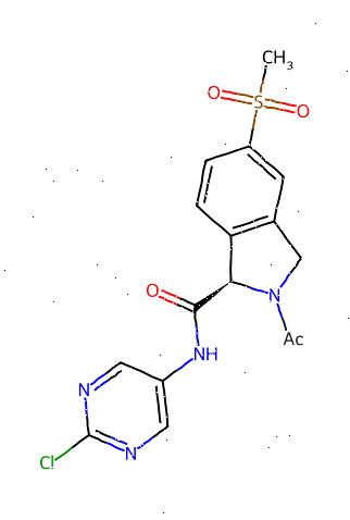 CC(=O)N1Cc2cc(S(C)(=O)=O)ccc2[C@@H]1C(=O)Nc1cnc(Cl)nc1